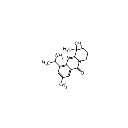 Cc1cc(C(C)N)c2nc3n(c(=O)c2c1)CCCC3(C)C